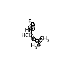 COc1cc2c(cc1OC)CN(CCCCNS(=O)(=O)c1cccc(F)c1)CC2.Cl